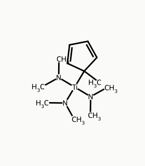 C[N](C)[Ti]([N](C)C)([N](C)C)[C]1(C)C=CC=C1